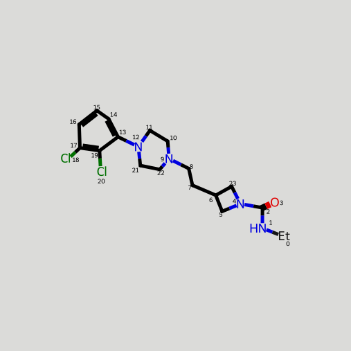 CCNC(=O)N1CC(CCN2CCN(c3cccc(Cl)c3Cl)CC2)C1